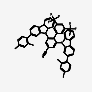 Cc1ccc(-c2ccc3c(c2)N(c2cc(C#N)cc(-n4c5ccccc5c5ccc(-c6ccc(C)cc6C)cc54)c2-c2cc(C(F)(F)F)cc(C(F)(F)F)c2)C2C=CC=CC32)c(C)c1